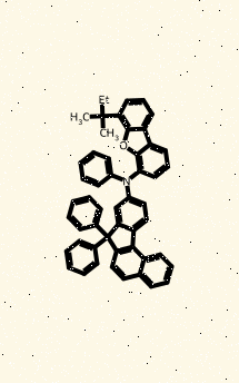 CCC(C)(C)c1cccc2c1oc1c(N(c3ccccc3)c3ccc4c(c3)C(c3ccccc3)(c3ccccc3)c3ccc5ccccc5c3-4)cccc12